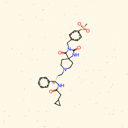 CS(=O)(=O)c1ccc(CN2C(=O)NC3(CCN(CC[C@H](NC(=O)CC4CC4)c4ccccc4)CC3)C2=O)cc1